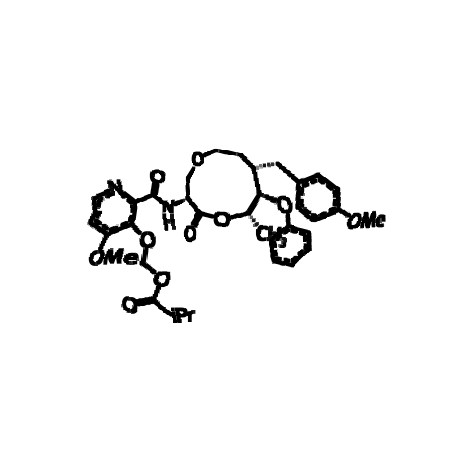 COc1ccc(C[C@H]2CCOC[C@H](NC(=O)c3nccc(OC)c3OCOC(=O)C(C)C)C(=O)O[C@@H](C)[C@@H]2Oc2ccccc2)cc1